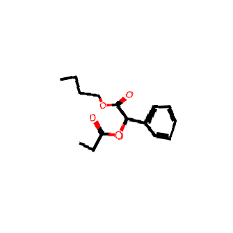 CCCCOC(=O)C(OC(=O)CC)c1ccccc1